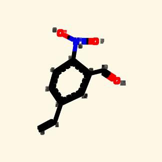 C=Cc1ccc([N+](=O)[O-])c(C=O)c1